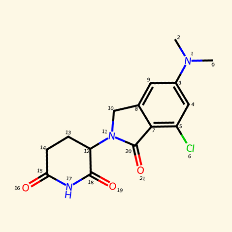 CN(C)c1cc(Cl)c2c(c1)CN(C1CCC(=O)NC1=O)C2=O